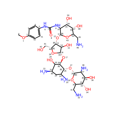 COc1ccc(NC(=O)NC2[C@@H](O[C@@H]3C(O)[C@H](O[C@@H]4C(O)[C@H](N)CC(N)[C@H]4O[C@H]4OC(CN)[C@@H](O)[C@H](O)C4N)O[C@@H]3CO)OC(CN)[C@@H](O)[C@H]2O)cc1